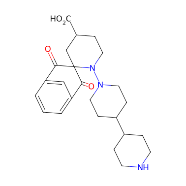 O=C(O)C1CCN(N2CCC(C3CCNCC3)CC2)C2(C1)C(=O)c1cccc(c1)C2=O